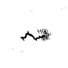 CC(C)=CCCC(C)=CCCC(C)=CCCCCC(P(=O)(O)O)S(=O)(=O)O